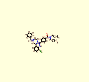 CCN(CC)C(=O)c1ccc(/C(=N/c2ccccc2Cl)N2CCN(Cc3ccccc3)CC2)cc1